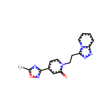 O=c1cc(-c2noc(C(F)(F)F)n2)ccn1CCc1nnc2ccccn12